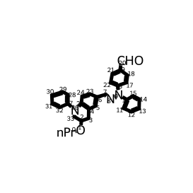 CCCOC1Cc2cc(C=NN(c3ccccc3)c3ccc(C=O)cc3)ccc2N(c2ccccc2)C1